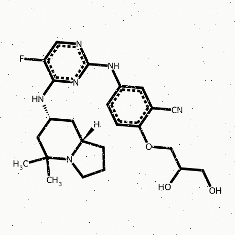 CC1(C)C[C@H](Nc2nc(Nc3ccc(OCC(O)CO)c(C#N)c3)ncc2F)C[C@@H]2CCCN21